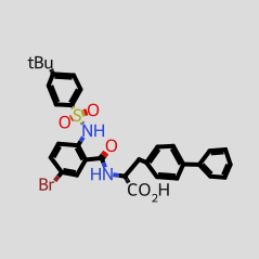 CC(C)(C)c1ccc(S(=O)(=O)Nc2ccc(Br)cc2C(=O)NC(Cc2ccc(-c3ccccc3)cc2)C(=O)O)cc1